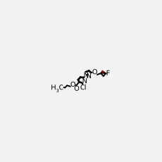 CCCCOC(=O)c1ccc(-n2ccc(OCC34CC(F)(C3)C4)n2)nc1Cl